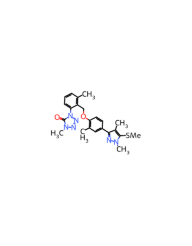 CSc1c(C)c(-c2ccc(OCc3c(C)cccc3-n3nnn(C)c3=O)c(C)c2)nn1C